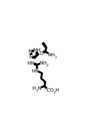 C=CC(N)=O.N=C(N)NCCCC(N)C(=O)O.c1c[nH]nn1